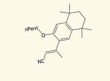 CCCCCOc1cc2c(cc1C(C)=CC#N)C(C)(C)CCC2(C)C